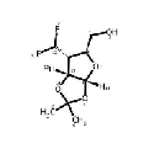 CC1(C)O[C@H]2O[C@H](CO)[C@@H](C(F)F)[C@H]2O1